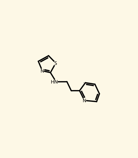 [c]1cccnc1CCNc1nccs1